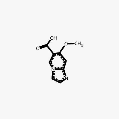 COc1cc2nccn2cc1C(=O)O